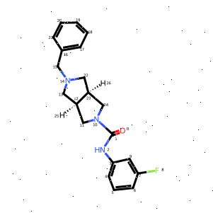 O=C(Nc1cccc(F)c1)N1C[C@H]2CN(Cc3ccccc3)C[C@H]2C1